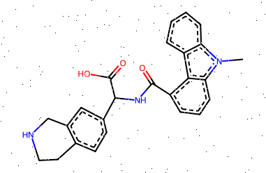 Cn1c2ccccc2c2c(C(=O)NC(C(=O)O)c3ccc4c(c3)CNCC4)cccc21